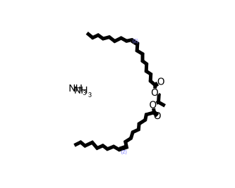 CCCCCCCC/C=C\CCCCCCCC(=O)OCC(C)OC(=O)CCCCCCC/C=C\CCCCCCCC.N.N